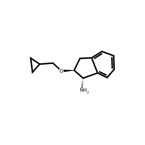 N[C@H]1c2ccccc2C[C@@H]1OCC1CC1